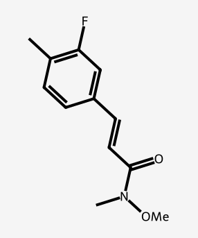 CON(C)C(=O)/C=C/c1ccc(C)c(F)c1